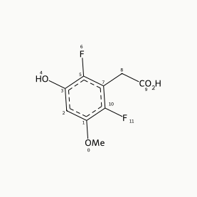 COc1cc(O)c(F)c(CC(=O)O)c1F